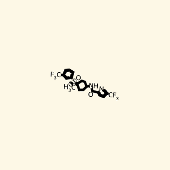 CC1(S(=O)(=O)c2cccc(C(F)(F)F)c2)CCC(NC(=O)c2ccc(C(F)(F)F)cn2)CC1